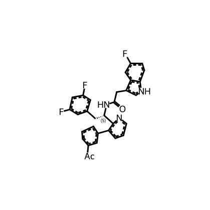 CC(=O)c1cccc(-c2cccnc2[C@H](Cc2cc(F)cc(F)c2)NC(=O)Cc2c[nH]c3ccc(F)cc23)c1